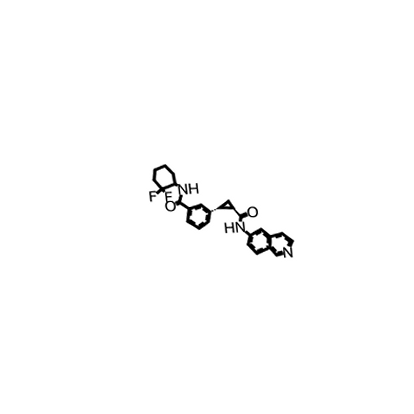 O=C(NC1CCCCC1(F)F)c1cccc([C@@H]2C[C@H]2C(=O)Nc2ccc3cnccc3c2)c1